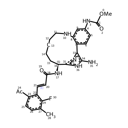 COC(=O)Nc1ccc2c(c1)NCCCCC[C@H](NC(=O)/C=C/c1c(C(C)=O)ccc(C)c1F)c1nc-2c(N)[nH]1